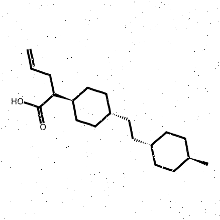 C=CCC(C(=O)O)[C@H]1CC[C@H](CC[C@H]2CC[C@H](C)CC2)CC1